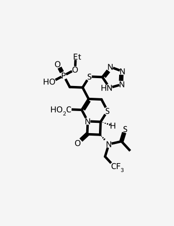 CCOP(=O)(O)CC(Sc1nnn[nH]1)C1=C(C(=O)O)N2C(=O)[C@@H](N(CC(F)(F)F)C(C)=S)[C@@H]2SC1